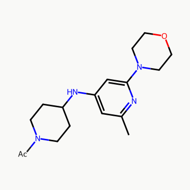 CC(=O)N1CCC(Nc2cc(C)nc(N3CCOCC3)c2)CC1